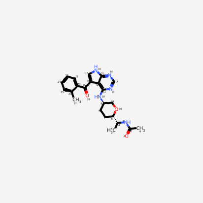 CC(=O)NC(C)[C@@H]1CC[C@@H](Nc2ncnc3[nH]cc(C(=O)c4ccccc4C)c23)CO1